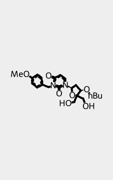 CCCCO[C@H]1C[C@H](n2ccc(=O)n(Cc3ccc(OC)cc3)c2=O)OC1(CO)CO